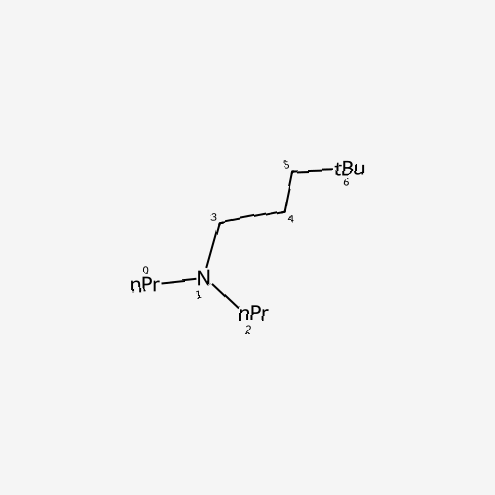 CCCN(CCC)CCCC(C)(C)C